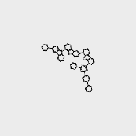 c1ccc(-c2ccc(-c3nc(-c4ccccc4)nc(-c4cccc5c4oc4c(-c6ccc7oc8c(-n9c%10ccccc%10c%10cc(-c%11ccccc%11)ccc%109)cccc8c7c6)cccc45)n3)cc2)cc1